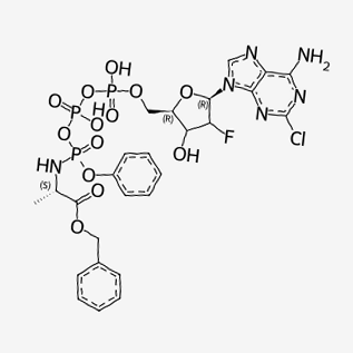 C[C@H](NP(=O)(Oc1ccccc1)OP(=O)(O)OP(=O)(O)OC[C@H]1O[C@@H](n2cnc3c(N)nc(Cl)nc32)C(F)C1O)C(=O)OCc1ccccc1